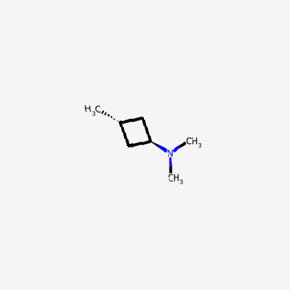 CN(C)[C@H]1C[C@H](C)C1